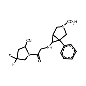 N#CC1CC(F)(F)CN1C(=O)CNC1C2CN(C(=O)O)CC21c1ccccc1